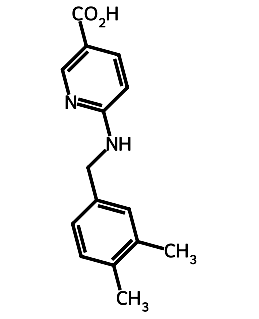 Cc1ccc(CNc2ccc(C(=O)O)cn2)cc1C